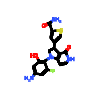 NC(=O)c1cc(C2CN(c3c(O)cc(N)cc3F)c3cc[nH]c(=O)c32)cs1